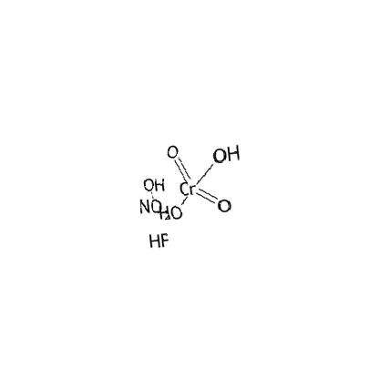 F.O=[N+]([O-])O.[O]=[Cr](=[O])([OH])[OH]